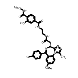 CONC(=O)c1ccc(C(=O)NCCNC(=O)C[C@@H]2N=C(c3ccc(Cl)cc3)c3cc(OC)ccc3-n3c(C)nnc32)cc1O